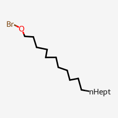 CCCCCCCCCCCCCCCCCCOBr